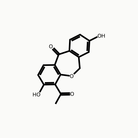 CC(=O)c1c(O)ccc2c1OCc1cc(O)ccc1C2=O